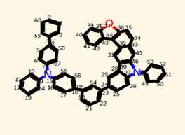 c1ccc(-c2ccc(N(c3ccccc3)c3ccc(-c4cccc(-c5ccc6c(c5)c5cc7c(ccc8oc9ccccc9c87)cc5n6-c5ccccc5)c4)cc3)cc2)cc1